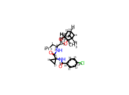 CC(C)C[C@H](NC(=O)C1(NC(=O)c2ccc(Cl)cc2)CC1)B1O[C@@H]2C[C@@H]3C[C@@H](C3(C)C)[C@]2(C)O1